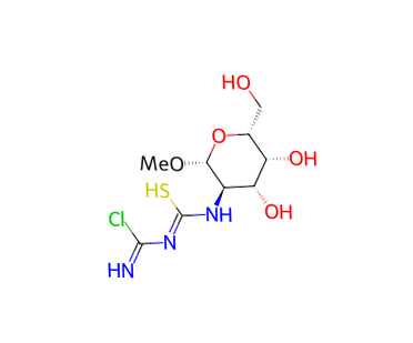 CO[C@@H]1O[C@H](CO)[C@H](O)[C@H](O)[C@H]1N/C(S)=N/C(=N)Cl